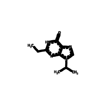 CCc1nc2c(ncn2C(C)C)c(=O)[nH]1